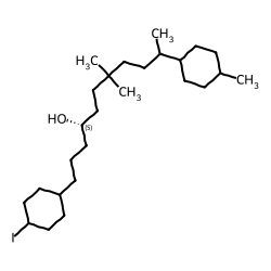 CC1CCC(C(C)CCC(C)(C)CC[C@@H](O)CCCC2CCC(I)CC2)CC1